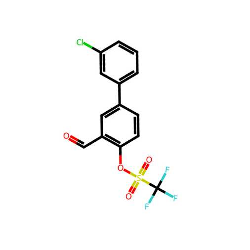 O=Cc1cc(-c2cccc(Cl)c2)ccc1OS(=O)(=O)C(F)(F)F